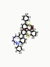 C=C1/C=C\C=C/N(c2ccccc2)c2cccc(-c3cccc4c3Sc3ccccc3C43c4ccccc4Sc4c(-c5ccccc5)cccc43)c21